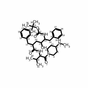 CNC1CCN(C(=O)C(NC(=O)C(Cc2ccccc2)CC(O)C(Cc2ccccc2)NC(=O)OC(C)(C)C)C(C)C)CC1